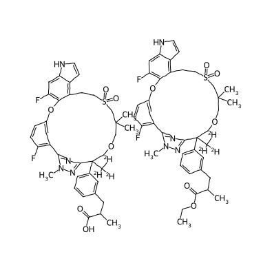 [2H]C([2H])([2H])C1(c2cccc(CC(C)C(=O)O)c2)COCC(C)(C)CS(=O)(=O)CCc2c(c(F)cc3[nH]ccc23)Oc2ccc(F)c(c2)-c2nc1nn2C.[2H]C([2H])([2H])C1(c2cccc(CC(C)C(=O)OCC)c2)COCC(C)(C)CS(=O)(=O)CCc2c(c(F)cc3[nH]ccc23)Oc2ccc(F)c(c2)-c2nc1nn2C